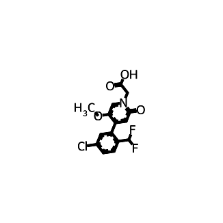 COc1cn(CC(=O)O)c(=O)cc1-c1cc(Cl)ccc1C(F)F